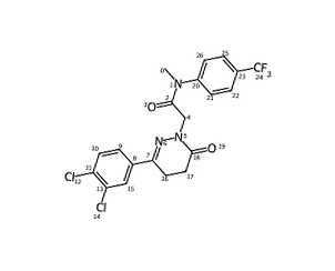 CN(C(=O)CN1N=C(c2ccc(Cl)c(Cl)c2)CCC1=O)c1ccc(C(F)(F)F)cc1